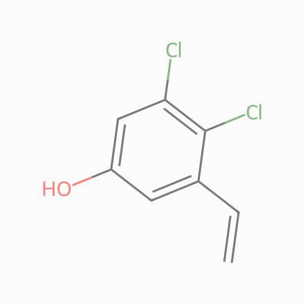 C=Cc1cc(O)cc(Cl)c1Cl